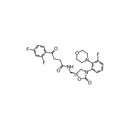 O=C(CCC(=O)c1ccc(F)cc1F)NC[C@H]1CN(c2cccc(F)c2N2CCOCC2)C(=O)O1